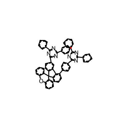 c1ccc(-c2nc(-c3ccccc3)nc(-c3ccc(-c4cccc5c4-c4cc(-c6nc(-c7ccccc7)nc(-c7ccccc7)n6)ccc4C54c5ccccc5Oc5ccccc54)cc3)n2)cc1